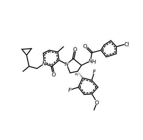 COc1cc(F)c([C@@H]2CN(c3c(C)ccn(CC(C)C4CC4)c3=O)C(=O)C2NC(=O)c2ccc(Cl)cc2)c(F)c1